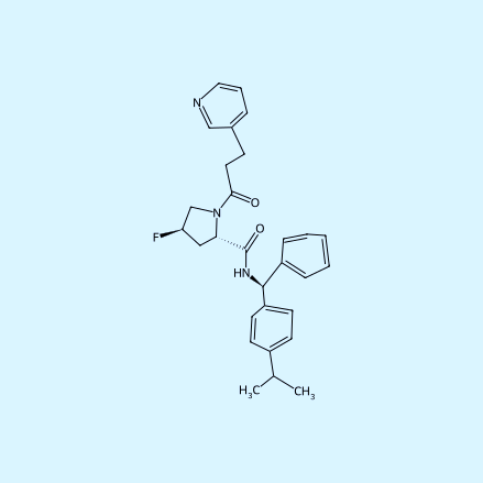 CC(C)c1ccc([C@@H](NC(=O)[C@@H]2C[C@@H](F)CN2C(=O)CCc2cccnc2)c2ccccc2)cc1